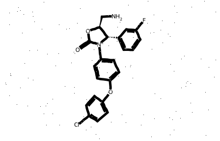 NC[C@@H]1OC(=O)N(c2ccc(Oc3ccc(Cl)cc3)cc2)[C@H]1c1cccc(F)c1